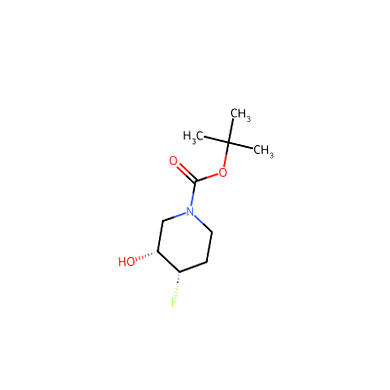 CC(C)(C)OC(=O)N1CC[C@H](F)[C@H](O)C1